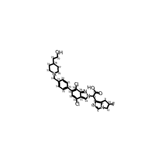 O=C(O)C(c1ncn2c1CC(F)C2)n1cc2c(Cl)cc(-c3ccc(CN4CCC(CCO)CC4)cc3)c(Cl)c2n1